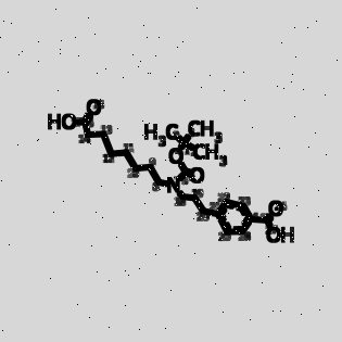 CC(C)(C)OC(=O)N(CCCCCCCC(=O)O)CCCc1ccc(C(=O)O)cc1